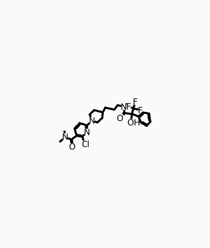 CN(C)C(=O)c1ccc(N2CCC(CCCN(C)C(=O)C(O)(c3ccccc3)C(F)(F)F)CC2)nc1Cl